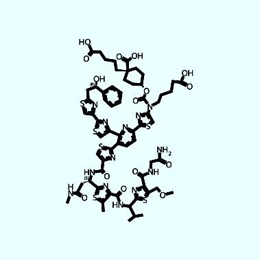 CNC(=O)C[C@H](NC(=O)c1csc(-c2ccc(-c3nc(N(CCCCC(=O)O)C(=O)O[C@H]4CC[C@@](CCCCC(=O)O)(C(=O)O)CC4)cs3)nc2-c2csc(-c3csc(C[C@@H](O)c4ccccc4)n3)n2)n1)c1nc(C(=O)NC(c2nc(C(=O)NCC(N)=O)c(COC)s2)C(C)C)c(C)s1